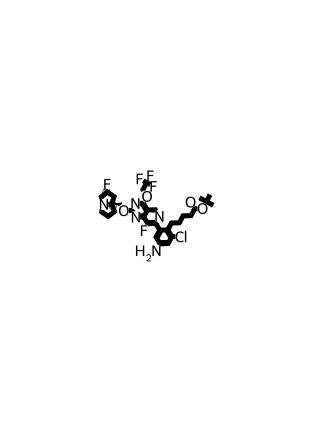 CC(C)(C)OC(=O)CCCCc1c(Cl)cc(N)cc1-c1ncc2c(OCC(F)(F)F)nc(OC[C@@]34CCCN3C[C@H](F)C4)nc2c1F